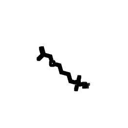 C=C(C)COCCCC[Si](C)(C)Br